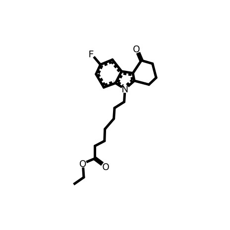 CCOC(=O)CCCCCCn1c2c(c3cc(F)ccc31)C(=O)CCC2